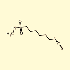 CNS(=O)(=O)CCCCCCN=C=S